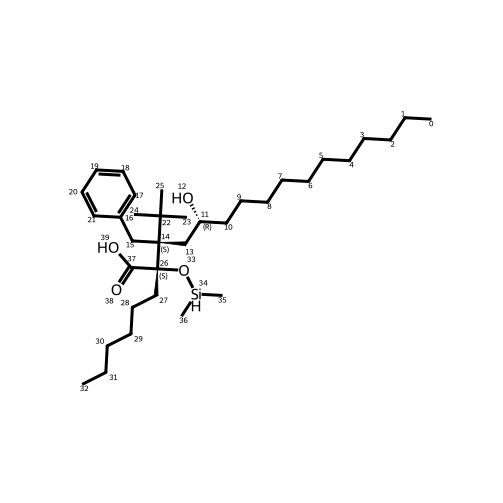 CCCCCCCCCCC[C@@H](O)C[C@@](Cc1ccccc1)(C(C)(C)C)[C@](CCCCCC)(O[SiH](C)C)C(=O)O